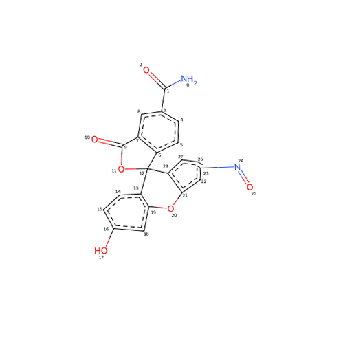 NC(=O)c1ccc2c(c1)C(=O)OC21c2ccc(O)cc2Oc2cc(N=O)ccc21